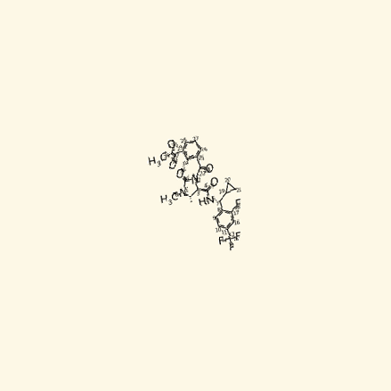 CN1C[C@H](C(=O)N[C@@H](c2ccc(C(F)(F)F)cc2F)C2CC2)N(C(=O)c2cccc(S(C)(=O)=O)c2)C1=O